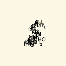 CC(/C=C(\C=O)Nc1ncnc2sc3c(c12)CC[C@H](C(=O)N1CCC(N(C)C)C1)C3)=C1\C(=O)NC2(CCCC2)N1C